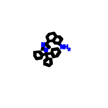 NC1=CC2C(C=C1)CCCC2c1cn(C(c2ccccc2)(c2ccccc2)c2ccccc2)cn1